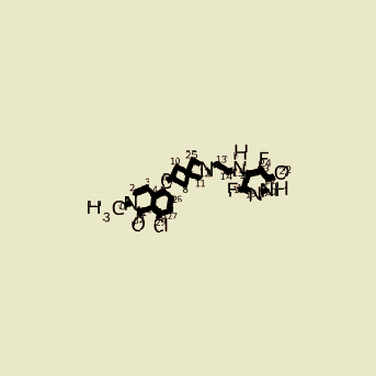 Cn1ccc2c(OC3CC4(C3)CN(CCNc3c(F)n[nH]c(=O)c3F)C4)ccc(Cl)c2c1=O